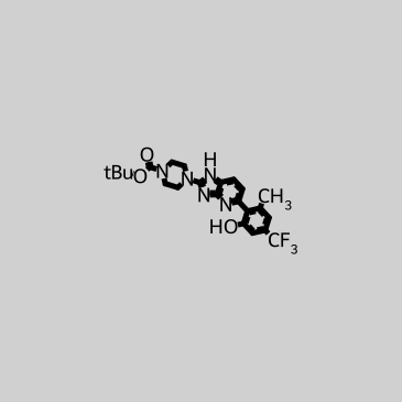 Cc1cc(C(F)(F)F)cc(O)c1-c1ccc2[nH]c(N3CCN(C(=O)OC(C)(C)C)CC3)nc2n1